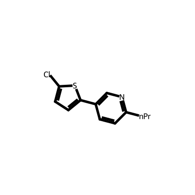 CCCc1ccc(-c2ccc(Cl)s2)cn1